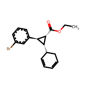 CCOC(=O)[C@H]1[C@H](c2cccc(Br)c2)[C@H]1C1C=CC=CC1